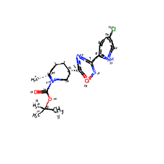 C[C@@H]1CC[C@H](c2nc(-c3cc(Cl)c[nH]3)no2)CN1C(=O)OC(C)(C)C